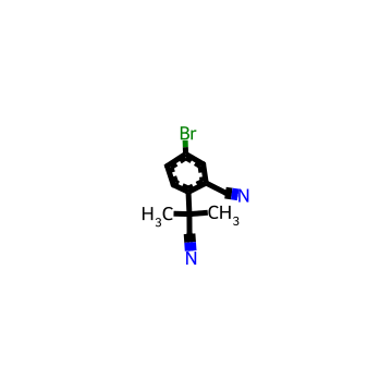 CC(C)(C#N)c1ccc(Br)cc1C#N